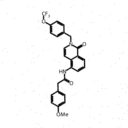 COc1ccc(CC(=O)Nc2cccc3c(=O)n(Cc4ccc(OC(F)(F)F)cc4)ccc23)cc1